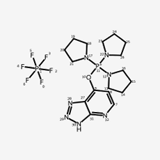 F[P-](F)(F)(F)(F)F.c1cc(O[P+](N2CCCC2)(N2CCCC2)N2CCCC2)c2nn[nH]c2n1